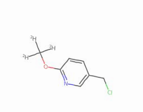 [2H]C([2H])([2H])Oc1ccc(CCl)cn1